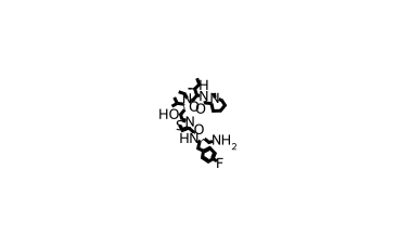 CC[C@H](C)C(NC(=O)C1CCCCN1C)C(=O)N(CC)[C@H](C[C@@H](O)c1nc(C(=O)N[C@H](CCN)Cc2ccc(F)cc2)cs1)C(C)C